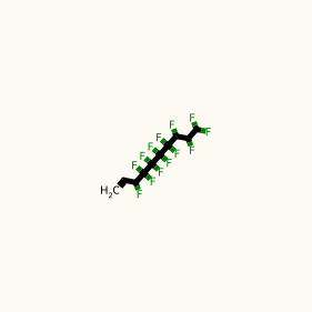 C=CC(F)C(F)(F)C(F)(F)C(F)(F)C(F)(F)C(F)C(F)C(F)F